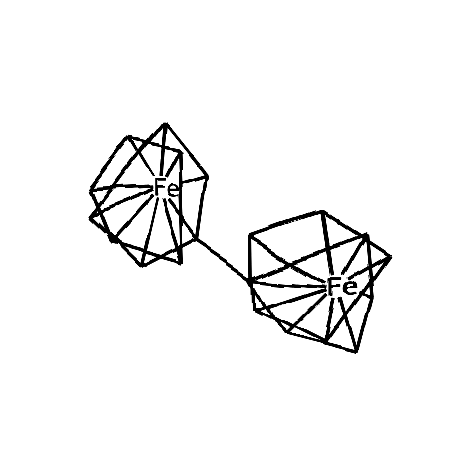 [CH]12[CH]3[CH]4[CH]5[CH]1[Fe]23451678[CH]2[CH]1[CH]6[C]7([C]13[CH]4[CH]5[CH]6[CH]1[Fe]5643179%10[CH]3[CH]1[CH]7[CH]9[CH]3%10)[CH]28